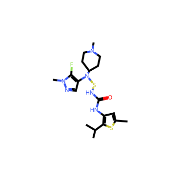 Cc1cc(NC(=O)NSN(c2cnn(C)c2F)C2CCN(C)CC2)c(C(C)C)s1